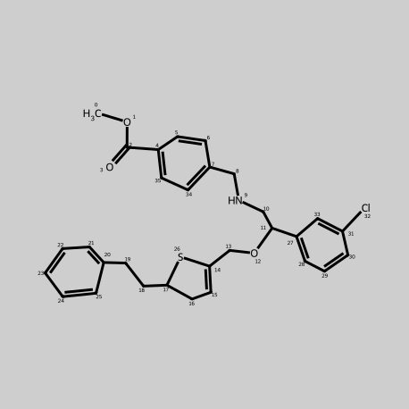 COC(=O)c1ccc(CNCC(OCC2=CCC(CCc3ccccc3)S2)c2cccc(Cl)c2)cc1